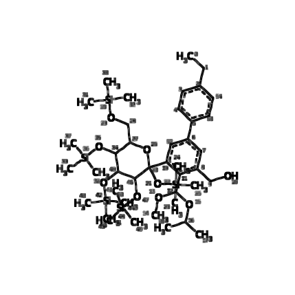 CCc1ccc(-c2cc(CO)c(C(OC)OC(C)C)c(C3(O[Si](C)(C)C)OC(CO[Si](C)(C)C)C(O[Si](C)(C)C)C(O[Si](C)(C)C)C3O[Si](C)(C)C)c2)cc1